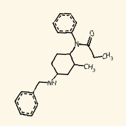 CCC(=O)N(c1ccccc1)C1CCC(NCc2ccccc2)CC1C